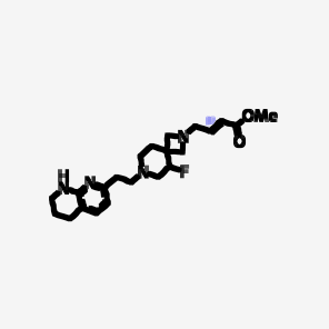 COC(=O)/C=C/CN1CC2(CCN(CCc3ccc4c(n3)NCCC4)CC2F)C1